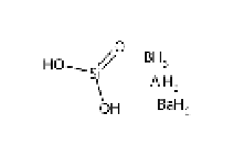 B.O=[Si](O)O.[AlH3].[BaH2]